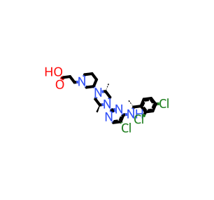 C[C@@H]1CN(c2ncc(Cl)c(N[C@H](C)c3ccc(Cl)cc3Cl)n2)[C@@H](C)CN1C1CCCN(CCC(=O)O)C1